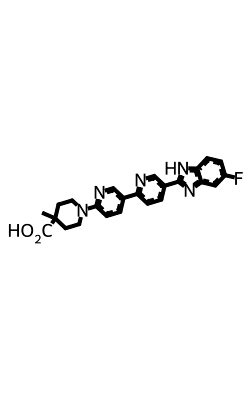 CC1(C(=O)O)CCN(c2ccc(-c3ccc(-c4nc5cc(F)ccc5[nH]4)cn3)cn2)CC1